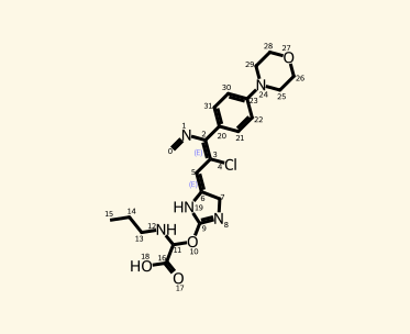 C=N/C(=C(Cl)\C=C1/CN=C(OC(NCCC)C(=O)O)N1)c1ccc(N2CCOCC2)cc1